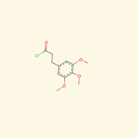 COc1cc(CCC(=O)Cl)cc(OC)c1OC